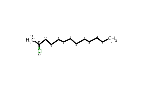 CCCCCCCCCCCC(C)Cl